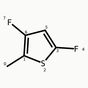 Cc1sc(F)cc1F